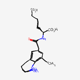 Cc1cc(C(=O)NC(CCCC(=O)O)C(=O)O)cc2c1NCC2